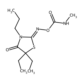 CCCN1C(=O)C(CC)(CC)SC1=NOC(=O)NC